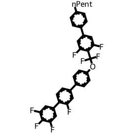 CCCCCc1ccc(-c2cc(F)c(C(F)(F)Oc3ccc(-c4ccc(-c5cc(F)c(F)c(F)c5)c(F)c4)cc3)c(F)c2)cc1